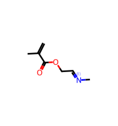 C=C(C)C(=O)OC/C=N/C